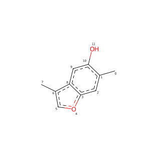 Cc1cc2occ(C)c2cc1O